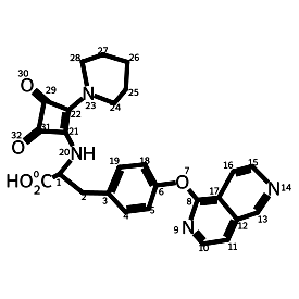 O=C(O)C(Cc1ccc(Oc2nccc3cnccc23)cc1)Nc1c(N2CCCCC2)c(=O)c1=O